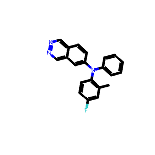 Cc1cc(F)ccc1N(c1ccccc1)c1ccc2cnncc2c1